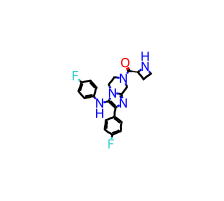 O=C([C@@H]1CCN1)N1CCn2c(nc(-c3ccc(F)cc3)c2Nc2ccc(F)cc2)C1